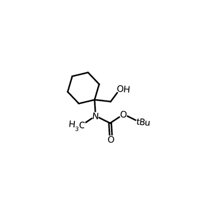 CN(C(=O)OC(C)(C)C)C1(CO)CCCCC1